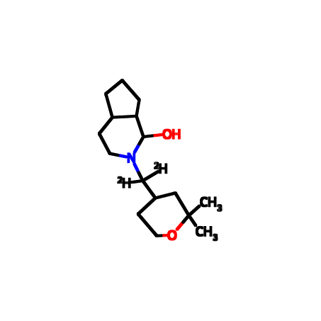 [2H]C([2H])(C1CCOC(C)(C)C1)N1CCC2CCCC2C1O